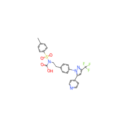 Cc1ccc(S(=O)(=O)N(CCc2ccc(-n3nc(C(F)(F)F)cc3-c3ccncc3)cc2)C(=O)O)cc1